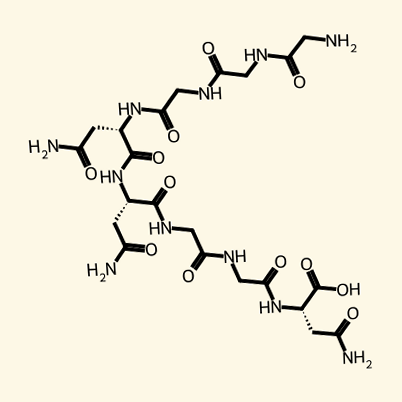 NCC(=O)NCC(=O)NCC(=O)N[C@@H](CC(N)=O)C(=O)N[C@@H](CC(N)=O)C(=O)NCC(=O)NCC(=O)N[C@@H](CC(N)=O)C(=O)O